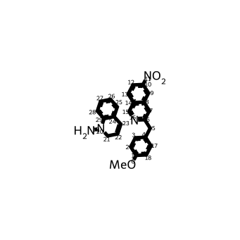 COc1ccc(Cc2cc3cc([N+](=O)[O-])ccc3cn2)cc1.NN1CC=Cc2ccccc21